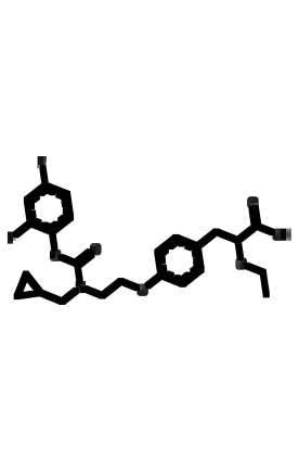 CCOC(Cc1ccc(OCCN(CC2CC2)C(=O)Oc2ccc(F)cc2F)cc1)C(=O)O